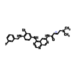 CCc1cc(Nc2ncnc3cnc(NC(=O)/C=C/CN(C)C)cc23)ccc1NCc1cccc(F)c1